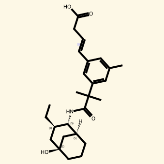 CC[C@@H]1C[C@@]2(O)CCC[C@@H](C2)[C@H]1NC(=O)C(C)(C)c1cc(C)cc(/C=C/CC(=O)O)c1